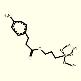 CC(C)O[Si](CCCOC(=O)CCc1ccc(N)cc1)(OC(C)C)OC(C)C